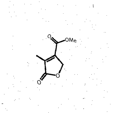 COC(=O)C1=C(C)C(=O)OC1